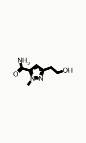 Cn1nc(CCO)cc1C(N)=O